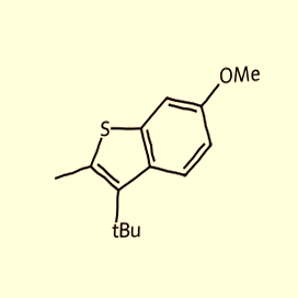 COc1ccc2c(C(C)(C)C)c(C)sc2c1